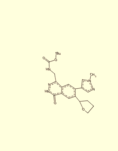 Cn1cc(-c2cc3c(CNC(=O)OC(C)(C)C)n[nH]c(=O)c3cc2C2CCCO2)cn1